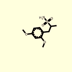 COc1ccc(CC(C)S(N)(=O)=O)c(OC)c1